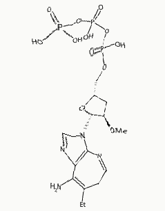 CCC1=C(N)c2ncn([C@@H]3O[C@H](COP(=O)(O)OP(=O)(O)OP(=O)(O)O)C[C@H]3OC)c2N=CC1